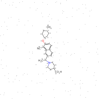 CC(c1ccc2ccc(O[C@H]3CC[C@@H](C)CC3)c(C#N)c2c1)N1CCC(C(=O)O)CC1